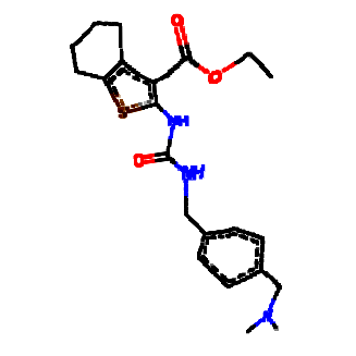 CCOC(=O)c1c(NC(=O)NCc2ccc(CN(C)C)cc2)sc2c1CCCC2